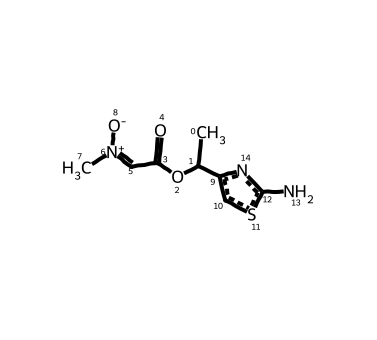 CC(OC(=O)/C=[N+](/C)[O-])c1csc(N)n1